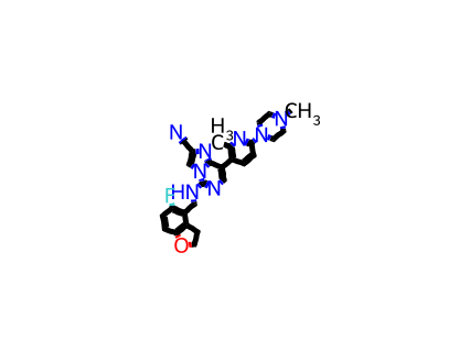 Cc1nc(N2CCN(C)CC2)ccc1-c1cnc(NCc2c(F)ccc3c2CCO3)n2cc(C#N)nc12